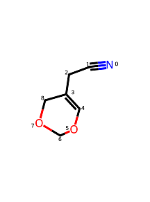 N#CCC1=COCOC1